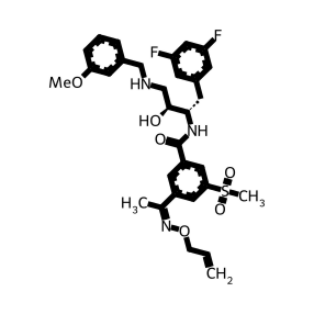 C=CCO/N=C(/C)c1cc(C(=O)N[C@@H](Cc2cc(F)cc(F)c2)[C@@H](O)CNCc2cccc(OC)c2)cc(S(C)(=O)=O)c1